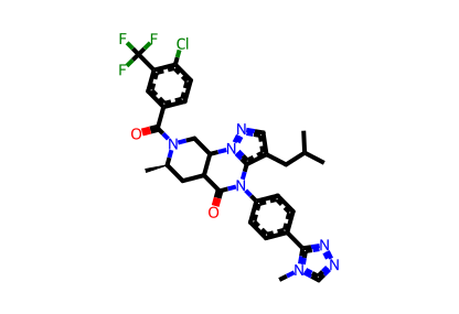 CC(C)Cc1cnn2c1N(c1ccc(-c3nncn3C)cc1)C(=O)C1C[C@@H](C)N(C(=O)c3ccc(Cl)c(C(F)(F)F)c3)CC12